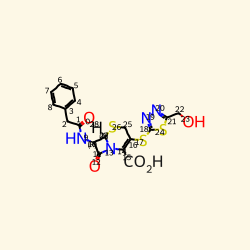 O=C(Cc1ccccc1)N[C@@H]1C(=O)N2C(C(=O)O)=C(Sc3nnc(CO)s3)CS[C@H]12